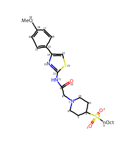 CCCCCCCCS(=O)(=O)C1CCN(CC(=O)Nc2nc(-c3ccc(OC)cc3)cs2)CC1